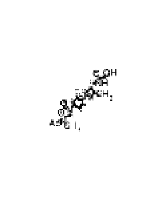 CC(=O)N(C)C1CN(c2ccc(N3C[C@H](CNC(=O)CO)[C@H](C)C3)c(F)c2)C(=O)O1